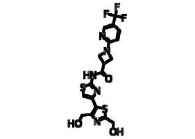 O=C(Nc1nc(-c2sc(CO)nc2CO)cs1)C1CN(c2ccc(C(F)(F)F)cn2)C1